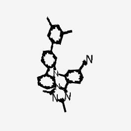 Cc1cc(C)cc(-c2ccc3c4ccccc4n(-c4cc(C#N)ccc4-c4nc(C)nc(C)n4)c3c2)c1